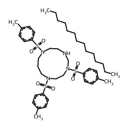 CCCCCCCCCCCCCC.Cc1ccc(S(=O)(=O)N2CCCN(S(=O)(=O)c3ccc(C)cc3)CCN(S(=O)(=O)c3ccc(C)cc3)CNCC2)cc1